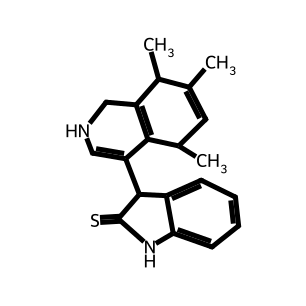 CC1=CC(C)C2=C(CNC=C2C2C(=S)Nc3ccccc32)C1C